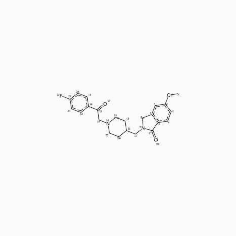 COc1ccc2c(c1)CN(CC1CCN(CC(=O)c3ccc(F)cc3)CC1)C2=O